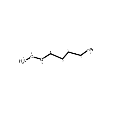 CCCCCCCOON